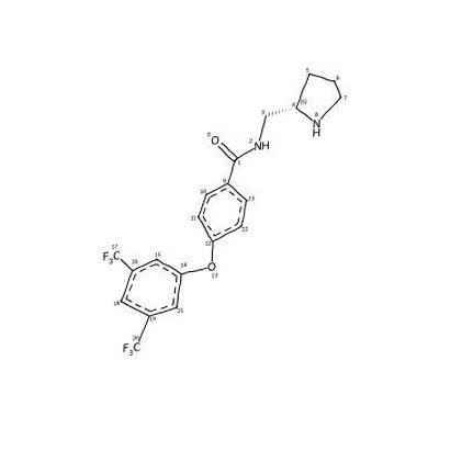 O=C(NC[C@@H]1CCCN1)c1ccc(Oc2cc(C(F)(F)F)cc(C(F)(F)F)c2)cc1